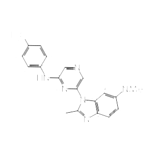 CNc1ccc2nc(C)n(-c3cncc(Nc4ccc(C(F)(F)F)cc4)n3)c2c1